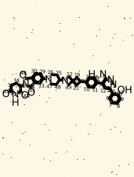 Nc1nnc(-c2ccccc2O)cc1-c1ccc(C2CC3(C2)CN(C2CCN(c4ccc5c(c4)C(=O)N(C4CCC(=O)NC4=O)C5=O)CC2)C3)cc1